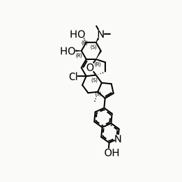 CN(C)[C@H]1C[C@@]23CC[C@]4(O2)C2CC=C(c5ccc6cc(O)ncc6c5)[C@@]2(C)CCC4(Cl)C=C3[C@@H](O)[C@@H]1O